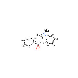 CCC(C)n1c(C)c(C(=O)c2ccccc2)c2ccccc21